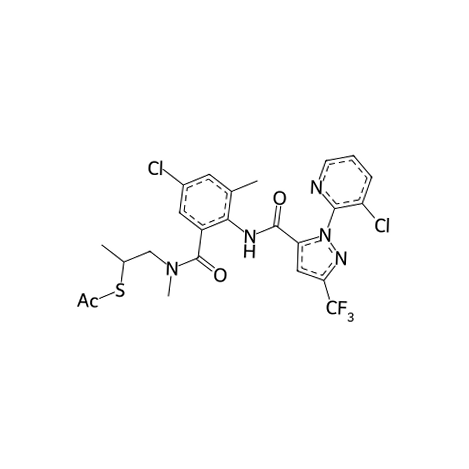 CC(=O)SC(C)CN(C)C(=O)c1cc(Cl)cc(C)c1NC(=O)c1cc(C(F)(F)F)nn1-c1ncccc1Cl